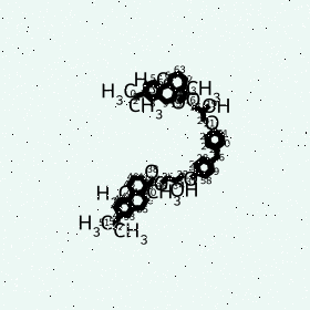 CC(C)c1ccc2c(c1)CCC1C(C)(C(=O)OCC(O)COc3ccc(Cc4ccc(OCC(O)COC(=O)C5(C)CCCC6(C)c7ccc(C(C)C)cc7CCC56)cc4)cc3)CCCC21C